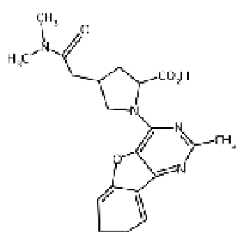 Cc1nc(N2CC(CC(=O)N(C)C)CC2C(=O)O)c2oc3ccccc3c2n1